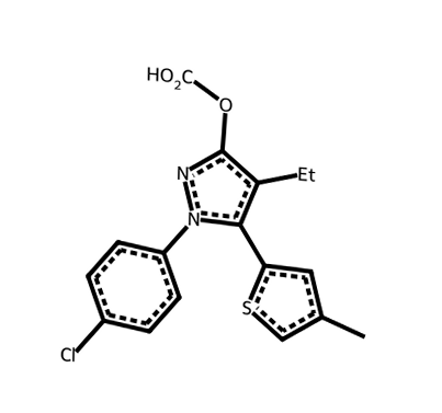 CCc1c(OC(=O)O)nn(-c2ccc(Cl)cc2)c1-c1cc(C)cs1